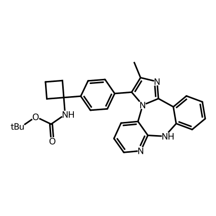 Cc1nc2n(c1-c1ccc(C3(NC(=O)OC(C)(C)C)CCC3)cc1)-c1cccnc1Nc1ccccc1-2